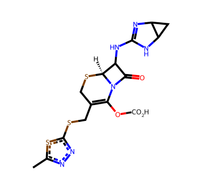 Cc1nnc(SCC2=C(OC(=O)O)N3C(=O)C(NC4=NC5CC5N4)[C@@H]3SC2)s1